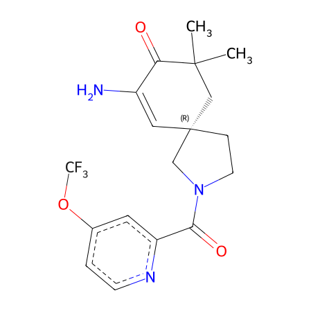 CC1(C)C[C@]2(C=C(N)C1=O)CCN(C(=O)c1cc(OC(F)(F)F)ccn1)C2